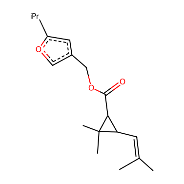 CC(C)=CC1C(C(=O)OCc2coc(C(C)C)c2)C1(C)C